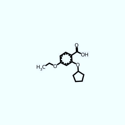 CCOc1ccc(C(=O)O)c(OC2CCCC2)c1